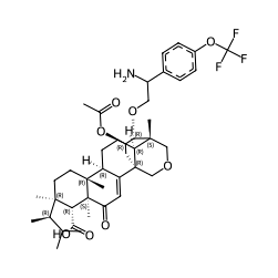 CC(=O)O[C@@H]1C[C@@]23COC[C@](C)([C@@H]2CC[C@H]2C3=CC(=O)[C@@]3(C)[C@H](C(=O)O)[C@@](C)([C@H](C)C(C)C)CC[C@]23C)[C@H]1OCC(N)c1ccc(OC(F)(F)F)cc1